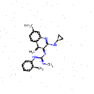 C=C1/C(=N\C(=N/C)Nc2ccccc2C)C(NC2CC2)=Nc2cc(C(=O)O)ccc21